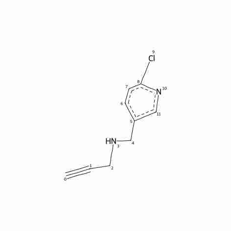 C#CCNCc1ccc(Cl)nc1